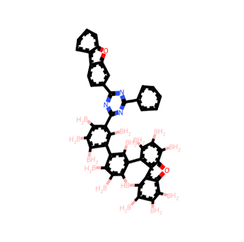 Bc1c(B)c(-c2nc(-c3ccccc3)nc(-c3ccc4c(c3)oc3ccccc34)n2)c(B)c(-c2c(B)c(B)c3c(c2B)-c2c(B)c(B)c(B)c4oc5c(B)c(B)c(B)c(c5c24)B3)c1B